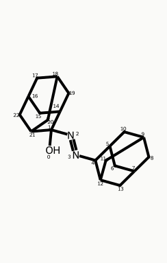 OC1(N=NC2C3CC4CC(C3)CC2C4)C2CC3CC(C2)CC1C3